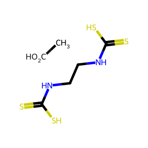 CC(=O)O.S=C(S)NCCNC(=S)S